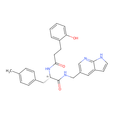 Cc1ccc(C[C@H](NC(=O)CCc2ccccc2O)C(=O)NCc2cnc3[nH]ccc3c2)cc1